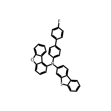 Fc1ccc(-c2ccc(N(c3ccc4c(c3)sc3ccccc34)c3cccc4oc5ccccc5c34)cc2)cc1